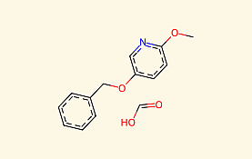 COc1ccc(OCc2ccccc2)cn1.O=CO